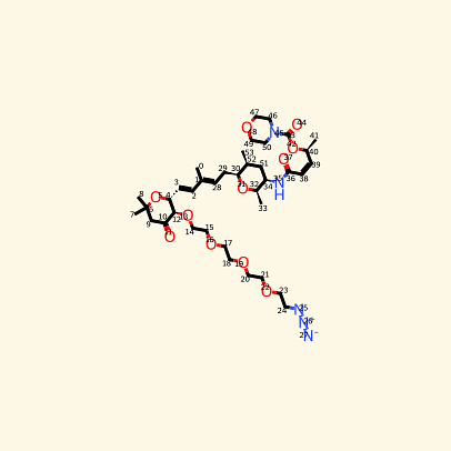 CC(/C=C/[C@H]1OC(C)(C)CC(=O)[C@@H]1OCCOCCOCCOCCN=[N+]=[N-])=C\C[C@@H]1O[C@H](C)[C@H](NC(=O)/C=C\[C@H](C)OC(=O)N2CCOCC2)C[C@@H]1C